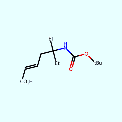 CCC(CC)(C/C=C/C(=O)O)NC(=O)OC(C)(C)C